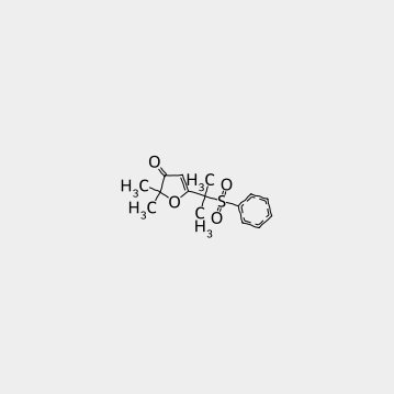 CC1(C)OC(C(C)(C)S(=O)(=O)c2ccccc2)=CC1=O